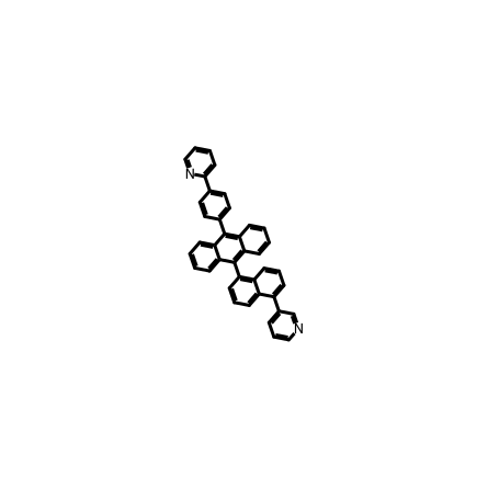 c1ccc(-c2ccc(-c3c4ccccc4c(-c4cccc5c(-c6cccnc6)cccc45)c4ccccc34)cc2)nc1